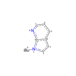 CCC(C)n1ccc2cccnc21